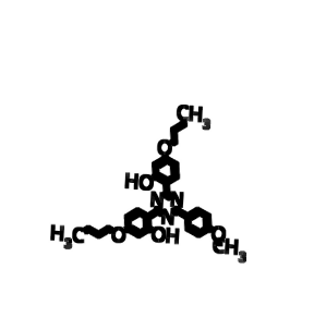 CCCCOc1ccc(-c2nc(-c3ccc(OC)cc3)nc(-c3ccc(OCCCC)cc3O)n2)c(O)c1